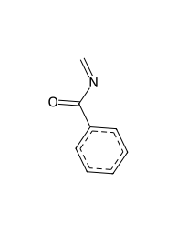 C=NC(=O)c1ccccc1